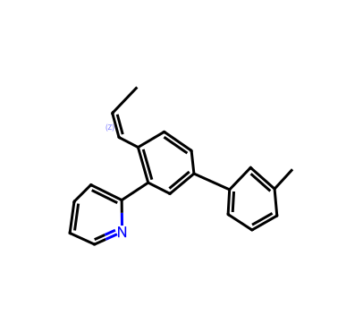 C/C=C\c1ccc(-c2cccc(C)c2)cc1-c1ccccn1